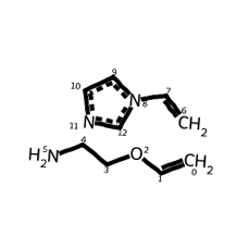 C=COCCN.C=Cn1ccnc1